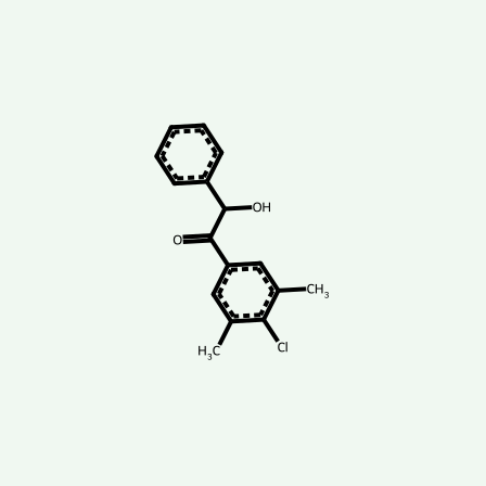 Cc1cc(C(=O)C(O)c2ccccc2)cc(C)c1Cl